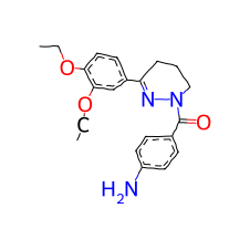 CCOc1ccc(C2=NN(C(=O)c3ccc(N)cc3)CCC2)cc1OCC